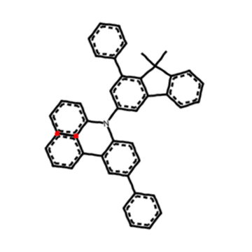 CC1(C)c2ccccc2-c2cc(N(c3ccccc3)c3ccc(-c4ccccc4)cc3-c3ccccc3)cc(-c3ccccc3)c21